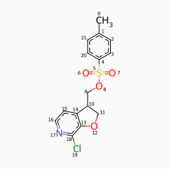 Cc1ccc(S(=O)(=O)OCC2COc3c2ccnc3Cl)cc1